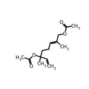 C=CC(C)(CC/C=C(\C)COC(C)=O)OC(C)=O